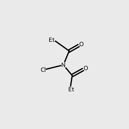 CCC(=O)N(Cl)C(=O)CC